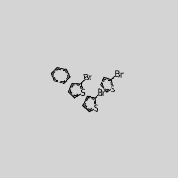 Brc1cccs1.Brc1cccs1.Brc1cccs1.c1ccccc1